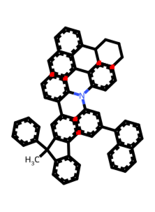 CC1(c2ccccc2)c2ccccc2-c2ccc(-c3ccccc3N(c3cccc(-c4cccc5ccccc45)c3)c3ccccc3-c3cccc4cccc(C5CCCCC5)c34)cc21